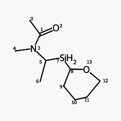 CC(=O)N(C)C(C)[SiH2]C1CCCCO1